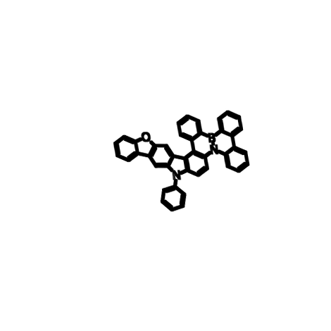 c1ccc(-n2c3cc4c(cc3c3c5c(ccc32)N2B(c3ccccc3-c3ccccc32)c2ccccc2-5)oc2ccccc24)cc1